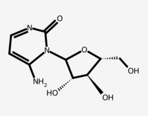 Nc1ccnc(=O)n1C1O[C@H](CO)[C@@H](O)[C@@H]1O